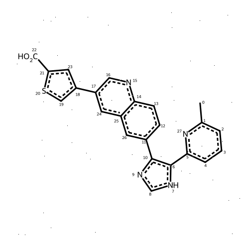 Cc1cccc(-c2[nH]cnc2-c2ccc3ncc(-c4csc(C(=O)O)c4)cc3c2)n1